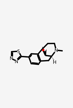 CN1CCC23CCCCC2[C@@H]1Cc1ccc(-c2nncs2)cc13